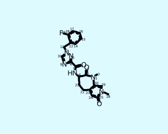 CN1C(=O)C(NC(=O)c2ncn(Cc3ccccc3F)n2)CCc2cc(=O)n(C)cc21